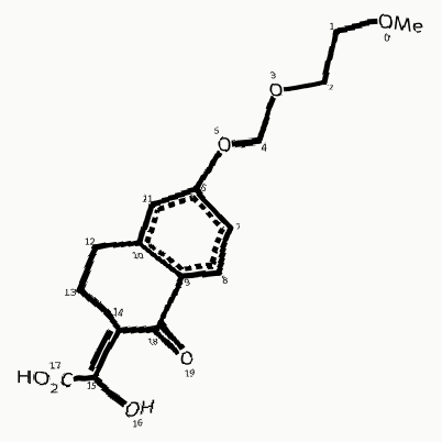 COCCOCOc1ccc2c(c1)CC/C(=C(/O)C(=O)O)C2=O